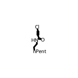 CCCCCCCNC(=O)C#CCl